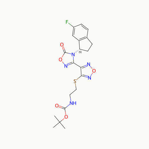 CC(C)(C)OC(=O)NCCSc1nonc1-c1noc(=O)n1[C@H]1CCc2ccc(F)cc21